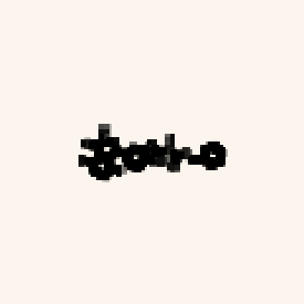 O=C(Nc1nc2cc(-c3n[nH]c(=O)c4c(F)ccc(F)c34)ccc2[nH]1)OCc1ccccc1